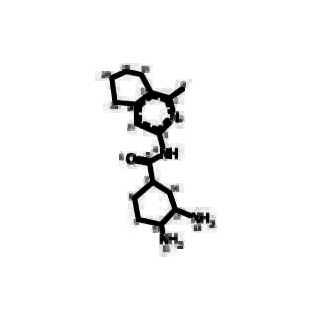 Cc1nc(NC(=O)C2CCC(N)C(N)C2)cc2c1CCCC2